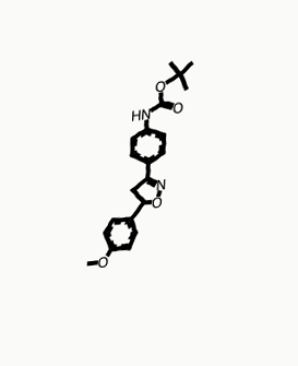 COc1ccc(C2CC(c3ccc(NC(=O)OC(C)(C)C)cc3)=NO2)cc1